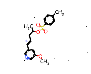 COc1cncc(/C=C/CC(C)OS(=O)(=O)c2ccc(C)cc2)c1